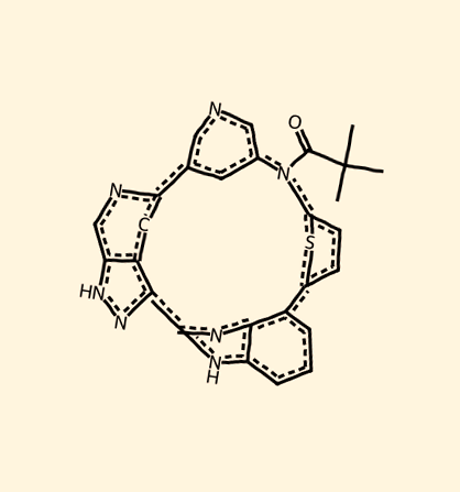 CC(C)(C)C(=O)n1c2cncc(c2)c2cc3c(cn2)[nH]nc3c2nc3c(cccc3c3ccc1s3)[nH]2